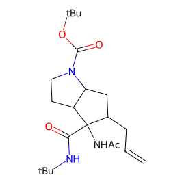 C=CCC1CC2C(CCN2C(=O)OC(C)(C)C)C1(NC(C)=O)C(=O)NC(C)(C)C